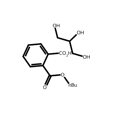 CCCCOC(=O)c1ccccc1C(=O)O.OCC(O)CO